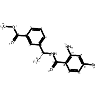 COC(=O)c1cccc([C@@H](C)NC(=O)c2ccc(Br)cc2N)c1